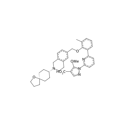 COc1c(C(=O)O)cnn1-c1cccc(-c2cccc(C)c2OCc2ccc3c(c2)CCN([C@H]2CC[C@@]4(CCCO4)CC2)C3)n1